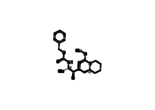 CC(C)(C)OC(=O)N1CCCC[C@H]1CNC(=O)[C@@H](NC(=O)OCc1ccccc1)C(C)(C)C